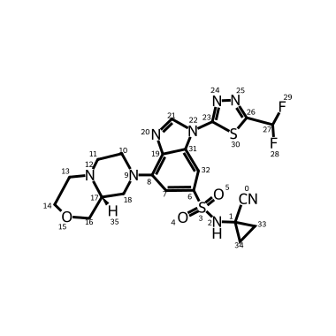 N#CC1(NS(=O)(=O)c2cc(N3CCN4CCOC[C@H]4C3)c3ncn(-c4nnc(C(F)F)s4)c3c2)CC1